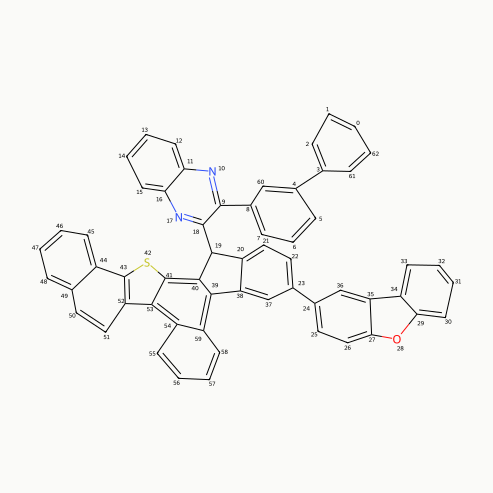 c1ccc(-c2cccc(-c3nc4ccccc4nc3C3c4ccc(-c5ccc6oc7ccccc7c6c5)cc4-c4c3c3sc5c6ccccc6ccc5c3c3ccccc43)c2)cc1